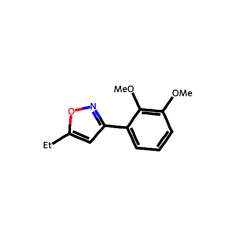 CCc1cc(-c2cccc(OC)c2OC)no1